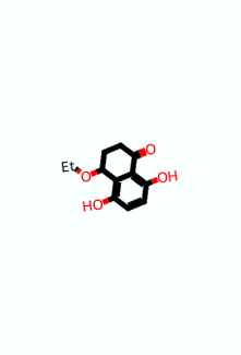 CCOC1CCC(=O)c2c(O)ccc(O)c21